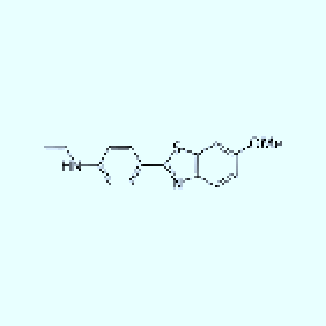 C=CNc1ccc(-c2nc3ccc(OC)cc3s2)cc1